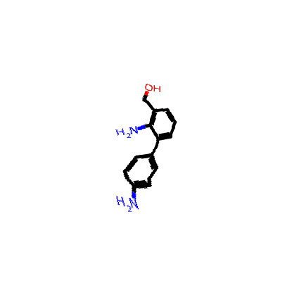 Nc1ccc(-c2cccc(CO)c2N)cc1